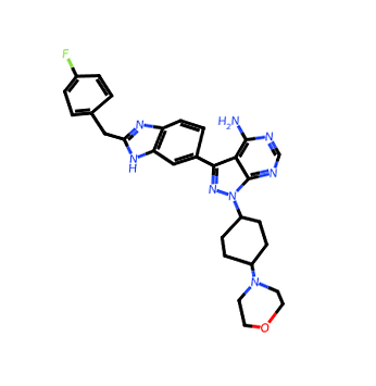 Nc1ncnc2c1c(-c1ccc3nc(Cc4ccc(F)cc4)[nH]c3c1)nn2C1CCC(N2CCOCC2)CC1